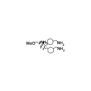 COCCN.NCC1CCC(C(F)(F)F)CC1.NCC1CCCC(C(F)(F)F)C1